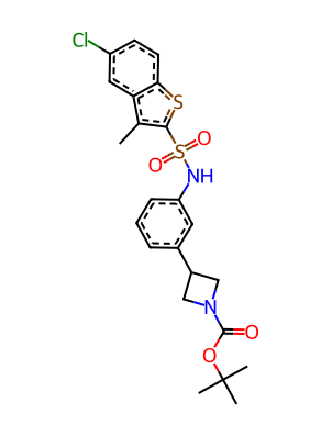 Cc1c(S(=O)(=O)Nc2cccc(C3CN(C(=O)OC(C)(C)C)C3)c2)sc2ccc(Cl)cc12